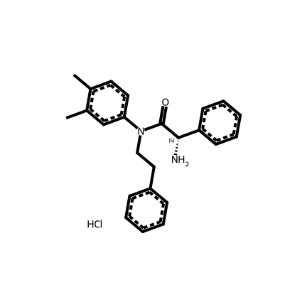 Cc1ccc(N(CCc2ccccc2)C(=O)[C@@H](N)c2ccccc2)cc1C.Cl